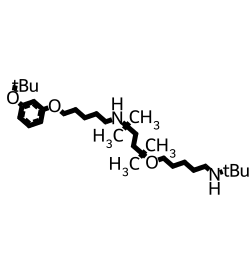 CC(C)(C)NCCCCCOC(C)(C)CCC(C)(C)NCCCCCOc1cccc(OC(C)(C)C)c1